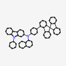 c1ccc(-n2c3ccccc3c3ccc(N(c4ccc(-c5cccc6c5-c5ccccc5C65c6ccccc6-c6ccccc65)cc4)c4cccc5ccccc45)cc32)cc1